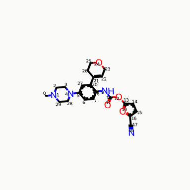 CN1CCN(c2ccc(NC(=O)Oc3ccc(C#N)o3)c(C3=CCOCC3)c2)CC1